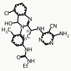 CCNC(=O)Nc1ccc(C)c(N2C([C@H](C)Nc3ncnc(N)c3C#N)=Nc3cccc(Cl)c3C2O)c1